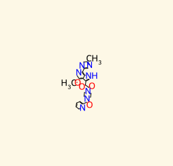 COc1cnc(-c2cnc(C)cn2)c2[nH]cc(C(=O)C(=O)N3CCN(C(=O)c4ccccn4)CC3)c12